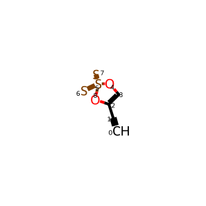 C#CC1=COS(=S)(=S)O1